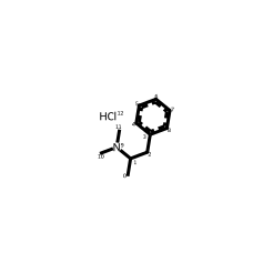 CC(Cc1ccccc1)N(C)C.Cl